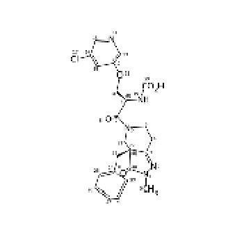 CN1N=C2CCN(C(=O)[C@@H](COc3cncc(Cl)c3)NC(=O)O)C[C@@]2(Cc2ccccc2)C1=O